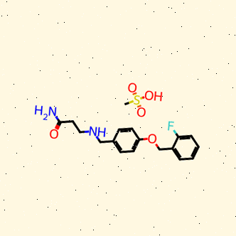 CS(=O)(=O)O.NC(=O)CCNCc1ccc(OCc2ccccc2F)cc1